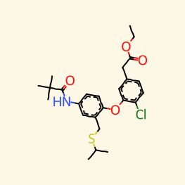 CCOC(=O)Cc1ccc(Cl)c(Oc2ccc(NC(=O)C(C)(C)C)cc2CSC(C)C)c1